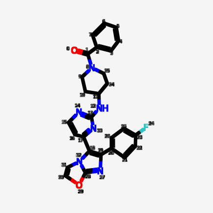 O=C(c1ccccc1)N1CCC(Nc2nccc(-c3c(-c4ccc(F)cc4)nc4occn34)n2)CC1